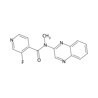 CN(C(=O)c1ccncc1F)c1cnc2ccccc2n1